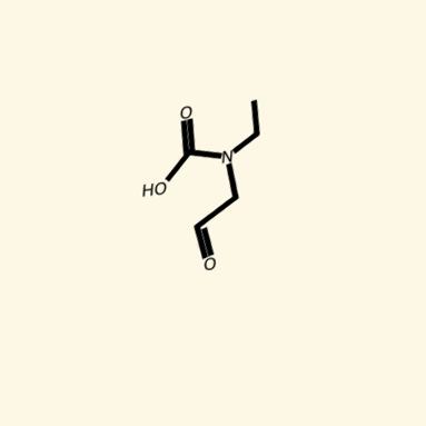 CCN(CC=O)C(=O)O